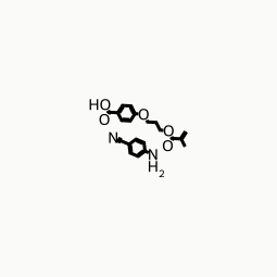 C=C(C)C(=O)OCCCOc1ccc(C(=O)O)cc1.N#Cc1ccc(N)cc1